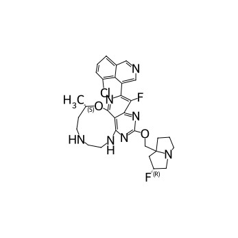 C[C@H]1CCNCCNc2nc(OCC34CCCN3C[C@H](F)C4)nc3c(F)c(-c4cncc5cccc(Cl)c45)nc(c23)O1